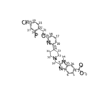 COC(=O)c1ccc2nc(CN3CCC(c4cccc(OCc5ccc(Cl)cc5F)n4)CC3)n(C)c2c1